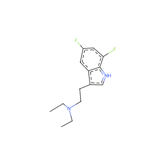 CCN(CC)CCc1c[nH]c2c(F)cc(F)cc12